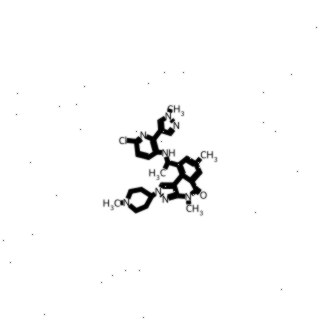 Cc1cc(C(C)Nc2ccc(Cl)nc2-c2cnn(C)c2)c2c(c1)c(=O)n(C)c1nn(C3CCN(C)CC3)cc21